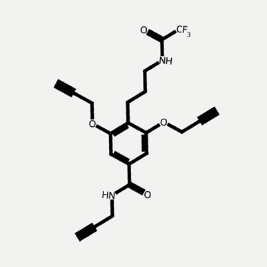 C#CCNC(=O)c1cc(OCC#C)c(CCCNC(=O)C(F)(F)F)c(OCC#C)c1